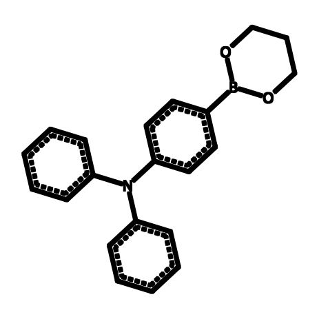 c1ccc(N(c2ccccc2)c2ccc(B3OCCCO3)cc2)cc1